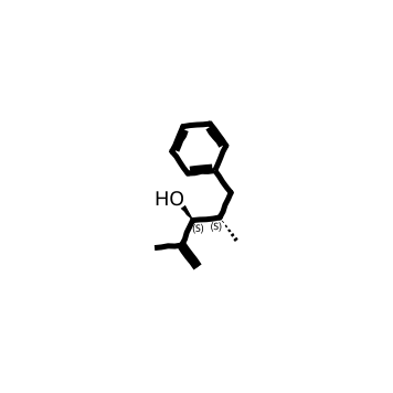 C=C(C)[C@@H](O)[C@@H](C)Cc1ccccc1